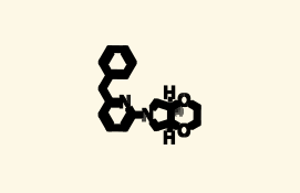 c1ccc(Cc2cccc(N3C[C@H]4OCCO[C@@H]4C3)n2)cc1